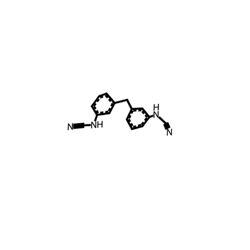 N#CNc1cccc(Cc2cccc(NC#N)c2)c1